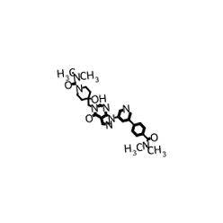 CN(C)C(=O)c1ccc(-c2cncc(-n3ncc4c(=O)n(CC5(O)CCN(C(=O)N(C)C)CC5)cnc43)c2)cc1